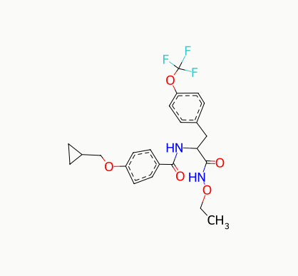 CCONC(=O)C(Cc1ccc(OC(F)(F)F)cc1)NC(=O)c1ccc(OCC2CC2)cc1